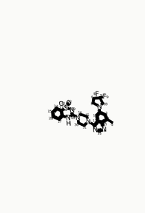 Cc1cc(N2CCC(F)(F)C2)cc2c(N3CCN(C4=NS(=O)(=O)c5ccccc5N4)CC3)ncnc12